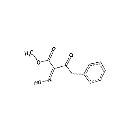 COC(=O)C(=NO)C(=O)Cc1ccccc1